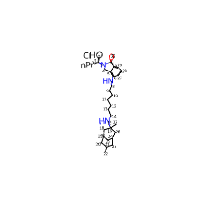 CCCC(C=O)N1Cc2c(NCCCCCCCNC3(C)CC4CC(C)CC(C4)C3)cccc2C1=O